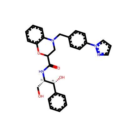 O=C(N[C@@H](CO)[C@H](O)c1ccccc1)C1CN(Cc2ccc(-n3cccn3)cc2)c2ccccc2O1